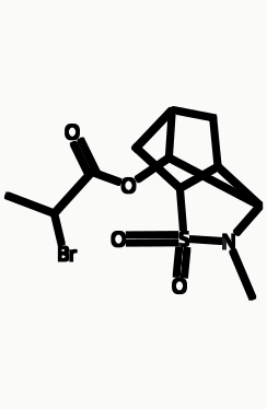 CC(Br)C(=O)OC1C2CC3C1N(C)S(=O)(=O)C3C2